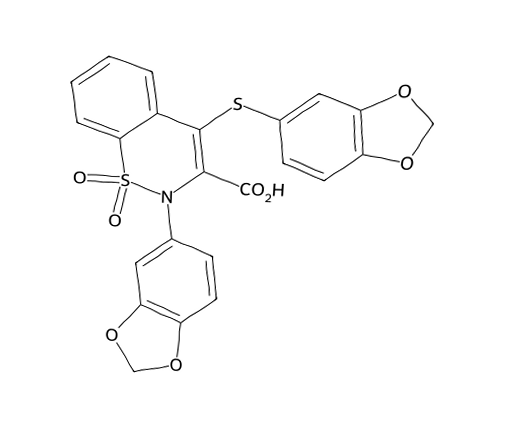 O=C(O)C1=C(Sc2ccc3c(c2)OCO3)c2ccccc2S(=O)(=O)N1c1ccc2c(c1)OCO2